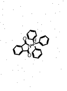 O=C1c2ccccc2C(=O)N1[PH](c1ccccc1)(c1ccccc1)c1ccccc1